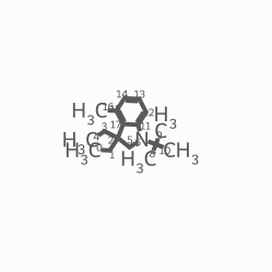 CCC1(CC)CN(C(C)(C)C)c2cccc(C)c21